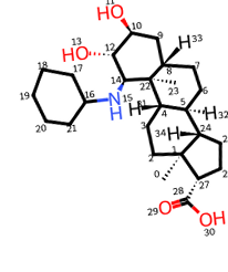 C[C@]12CC[C@H]3[C@@H](CC[C@H]4C[C@H](O)[C@@H](O)[C@H](NC5CCCCC5)[C@@]43C)[C@@H]1CC[C@@H]2C(=O)O